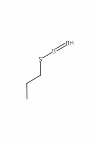 B=BSCCC